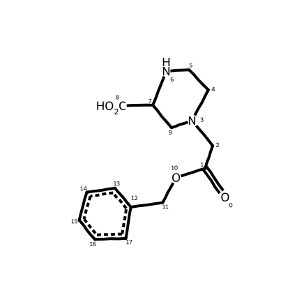 O=C(CN1CCNC(C(=O)O)C1)OCc1ccccc1